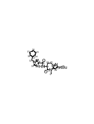 CN1C(=O)C(NC(=O)c2ncn(Cc3ccccc3)n2)CCn2nc(C(C)(C)C)cc21